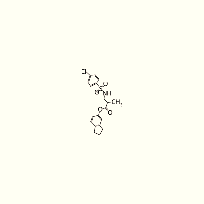 CC(CNS(=O)(=O)c1ccc(Cl)cc1)C(=O)Oc1ccc2c(c1)CCC2